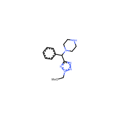 COCn1nnc(C(c2ccccc2)N2CCNCC2)n1